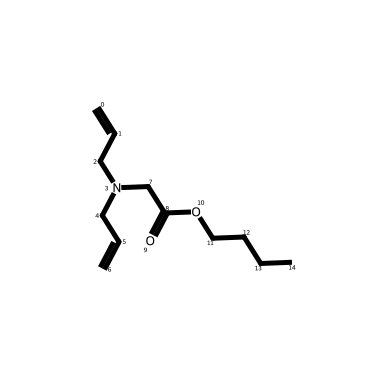 C=CCN(CC=C)CC(=O)OCCCC